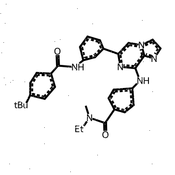 CCN(C)C(=O)c1ccc(Nc2nc(-c3cccc(NC(=O)c4ccc(C(C)(C)C)cc4)c3)cn3ccnc23)cc1